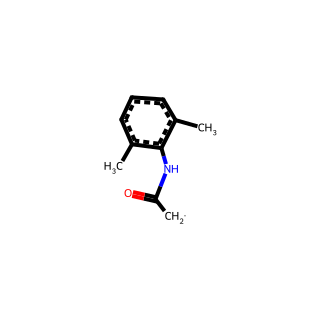 [CH2]C(=O)Nc1c(C)cccc1C